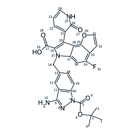 CC(C)(C)OC(=O)n1nc(N)c2cc(Cn3c(C(=O)O)c(-c4ccc[nH]c4=O)c4c5occc5c(F)cc43)ccc21